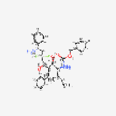 CC[C@H](C)[C@H](NC(=O)OCc1ccccc1)C(=O)C(Cc1ccccc1)C(=O)C(F)(F)CC(N)c1ccccc1